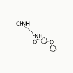 O=C(NCCCCCNCl)c1ccc(Oc2ccccc2)cc1